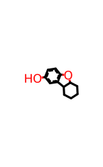 Oc1ccc2c(c1)C1CCCCC1O2